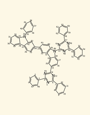 c1ccc(-c2nc(-c3ccccc3)nc(-c3ccc4c(c3)c3cc(-c5ccc6c7ccccc7n(-c7ccccc7)c6c5)ccc3n4-c3nc(-c4ccccc4)nc(-c4ccccc4)n3)n2)cc1